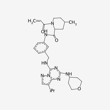 C=CC(=O)N1CCC(C)CC1C(=O)Nc1cccc(CNc2nc(NC3CCOCC3)nc3c(C(C)C)cnn23)c1